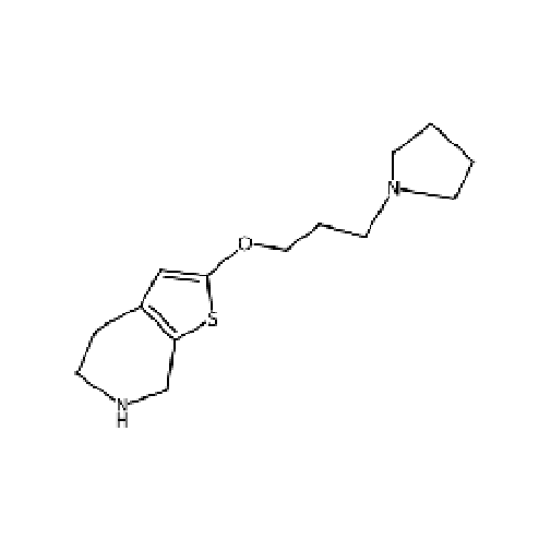 c1c(OCCCN2CCCC2)sc2c1CCNC2